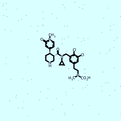 CN(CCc1cc(Cl)c(Cl)c(CN(C(=O)[C@@H]2CNCC[C@H]2c2ccn(C)c(=O)c2)C2CC2)c1)C(=O)O